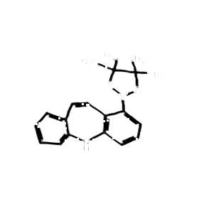 CC1(C)OB(c2cccc3c2C=Cc2ccccc2N3)OC1(C)C